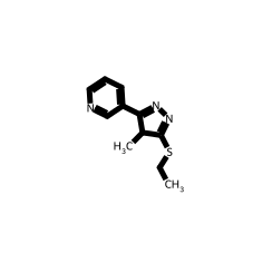 CCSC1=NN=C(c2cccnc2)C1C